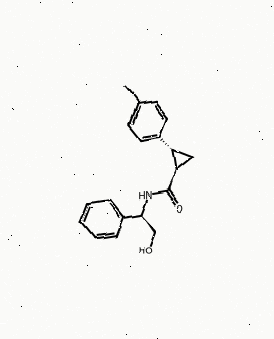 Cc1ccc([C@@H]2C[C@H]2C(=O)N[C@@H](CO)c2ccccc2)cc1